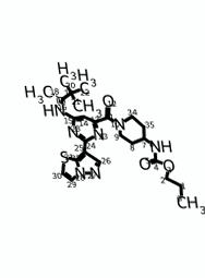 CCCOC(=O)NC1CCN(C(=O)c2cc(N[C@H](C)C(C)(C)C)nc(-c3cnn4ccsc34)n2)CC1